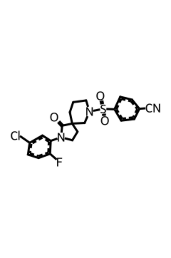 N#Cc1ccc(S(=O)(=O)N2CCCC3(CCN(c4cc(Cl)ccc4F)C3=O)C2)cc1